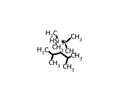 CC(C)[CH]C(C)C.C[SiH](C)[Ti]([CH3])[CH3]